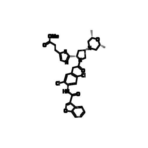 COC(=O)CCc1cnc([C@@H]2C[C@H](N3C[C@@H](C)O[C@@H](C)C3)CN2C(=O)Cc2cc(Cl)c(NC(=O)c3coc4ccccc34)cc2Cl)s1